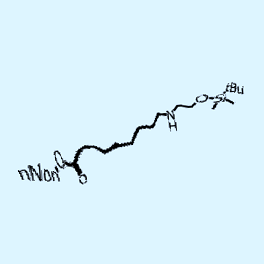 CCCCCCCCCOC(=O)CCCCCCCNCCO[Si](C)(C)C(C)(C)C